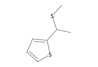 CSC(C)c1cccs1